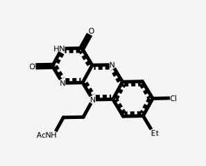 CCc1cc2c(cc1Cl)nc1c(=O)[nH]c(=O)nc-1n2CCNC(C)=O